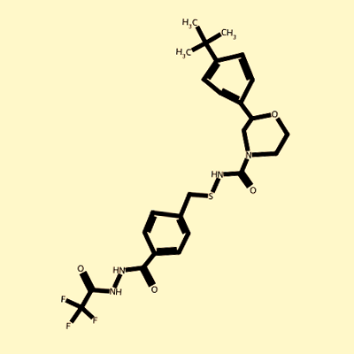 CC(C)(C)c1ccc(C2CN(C(=O)NSCc3ccc(C(=O)NNC(=O)C(F)(F)F)cc3)CCO2)cc1